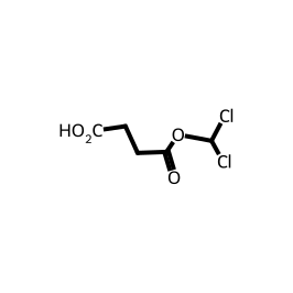 O=C(O)CCC(=O)OC(Cl)Cl